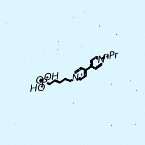 CCC[n+]1ccc(-c2cc[n+](CCCCCP(=O)(O)O)cc2)cc1